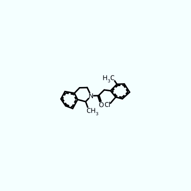 Cc1cccc(Cl)c1CC(=O)N1CCc2ccccc2C1C